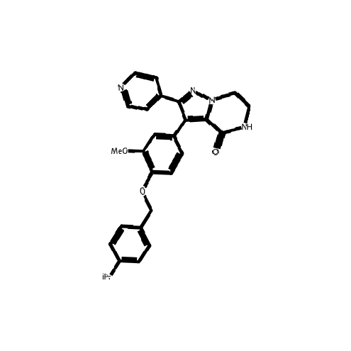 COc1cc(-c2c(-c3ccncc3)nn3c2C(=O)NCC3)ccc1OCc1ccc(C(C)C)cc1